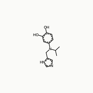 CC(C)N(Cc1cnc[nH]1)c1ccc(O)c(O)c1